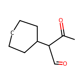 CC(=O)C(C=O)C1CCCCC1